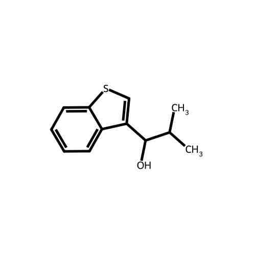 CC(C)C(O)c1csc2ccccc12